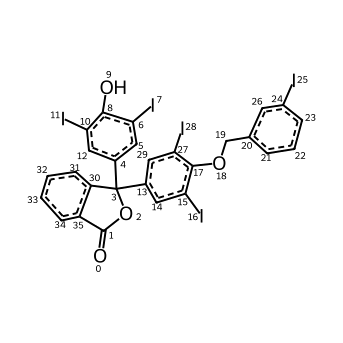 O=C1OC(c2cc(I)c(O)c(I)c2)(c2cc(I)c(OCc3cccc(I)c3)c(I)c2)c2ccccc21